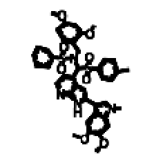 COc1ccc(CN(C(c2ccnc3[nH]c(-c4cn(C)c5cc(OC)c(OC)cc45)cc23)S(=O)(=O)c2ccc(C)cc2)S(=O)(=O)c2ccccc2)c(OC)c1